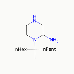 CCCCCCC(C)(CCCCC)N1CCNCC1N